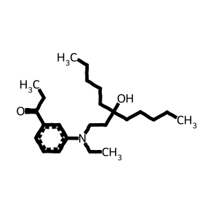 CCCCCC(O)(CCCCC)CCN(CC)c1cccc(C(=O)CC)c1